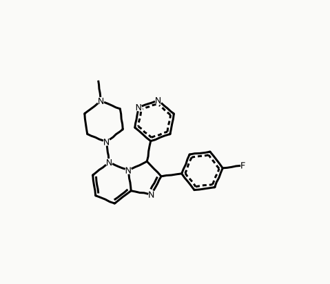 CN1CCN(N2C=CC=C3N=C(c4ccc(F)cc4)C(c4ccnnc4)N32)CC1